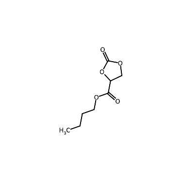 CCCCOC(=O)C1COC(=O)O1